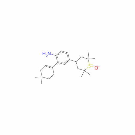 CC1(C)CC=C(c2cc(C3CC(C)(C)[S+]([O-])C(C)(C)C3)ccc2N)CC1